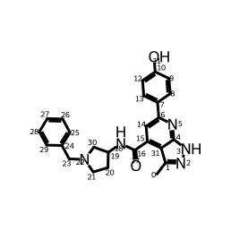 Cc1n[nH]c2nc(-c3ccc(O)cc3)cc(C(=O)NC3CCN(Cc4ccccc4)C3)c12